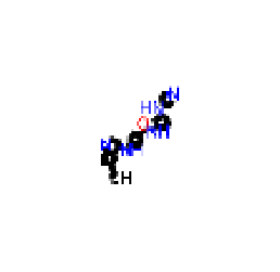 C#Cc1ccc2nccc(Nc3ccc(C(=O)Nc4cccc(Nc5ccncc5)c4)cc3)c2c1